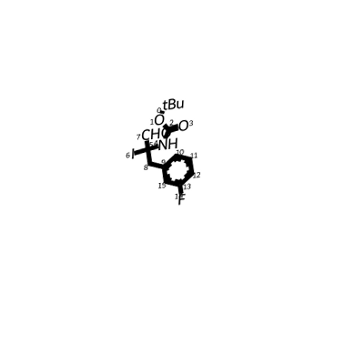 CC(C)(C)OC(=O)NC(I)(C=O)Cc1cccc(F)c1